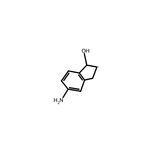 Nc1ccc2c(c1)C[C]C2O